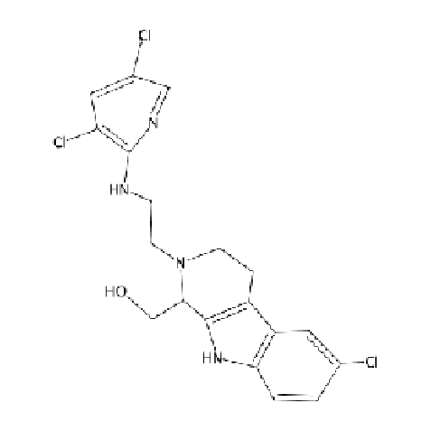 OCC1c2[nH]c3ccc(Cl)cc3c2CCN1CCNc1ncc(Cl)cc1Cl